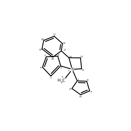 [CH3][Ti]1([C]2=CC=CC2)([C]2=CC=CC2)[CH2]C[CH]1c1ccccc1